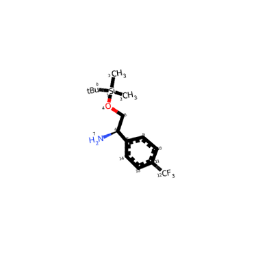 CC(C)(C)[Si](C)(C)OC[C@H](N)c1ccc(C(F)(F)F)cc1